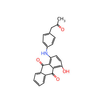 CC(=O)Cc1ccc(Nc2ccc(O)c3c2C(=O)c2ccccc2C3=O)cc1